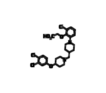 O=C(O)COc1c(Cl)cccc1N1CCC(CN2CCC(Oc3ccc(Cl)c(Cl)c3)CC2)CC1